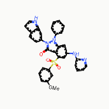 COc1cccc(S(=O)(=O)c2cc(Nc3ccccn3)cc3c2c(=O)n(-c2ccc4cc[nH]c4c2)n3-c2ccccc2)c1